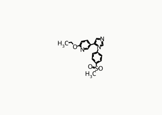 CCOc1ccc(-c2cncn2-c2ccc(S(C)(=O)=O)cc2)cn1